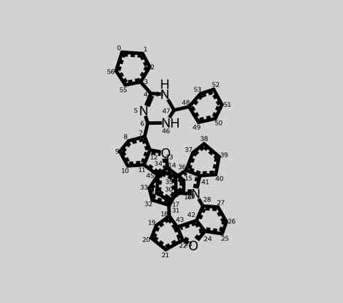 c1ccc(C2=NC(c3cccc4c3oc3ccc(-c5cccc6oc7cccc(-n8c9ccccc9c9ccccc98)c7c56)cc34)NC(c3ccccc3)N2)cc1